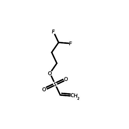 C=CS(=O)(=O)OCCC(F)F